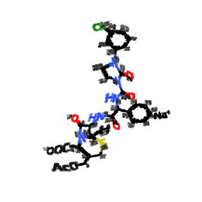 CC(=O)OCC1=C(C(=O)[O-])N2C(=O)C(NC(=O)C(NC(=O)N3CCN(c4cccc(Cl)c4)C3=O)c3ccccc3)[C@@H]2SC1.[Na+]